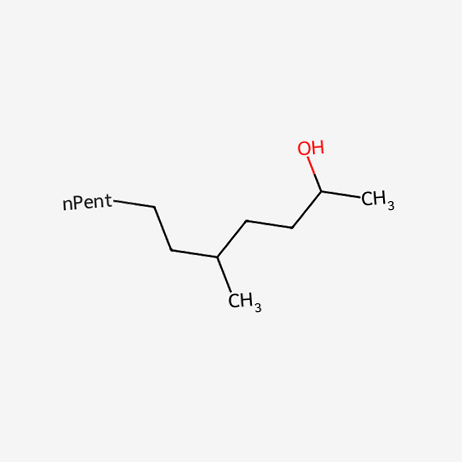 CCCCCCCC(C)CCC(C)O